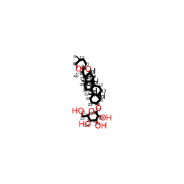 C[C@H]1CC[C@@]2(OC1)O[C@H]1C[C@H]3[C@@H]4CC[C@@H]5C[C@@H](O[C@@H]6OC(CO)C(O)C(O)C6O)CC[C@]5(C)[C@H]4CC[C@]3(C)[C@H]1[C@@H]2C